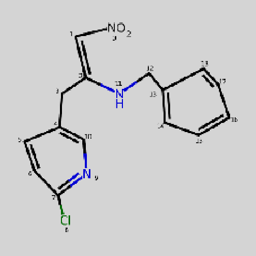 O=[N+]([O-])C=C(Cc1ccc(Cl)nc1)NCc1ccccc1